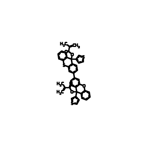 C=C(C)C(=O)OC1(c2ccsc2)c2ccccc2Oc2cc(-c3ccc4c(c3)Sc3ccccc3C4(OC(=O)C(=C)C)c3ccsc3)ccc21